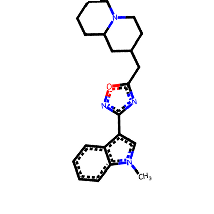 Cn1cc(-c2noc(CC3CCN4CCCCC4C3)n2)c2ccccc21